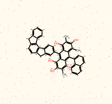 Cc1c(O)c(C)c2c(-c3cccc4ccccc34)c3c(O)c(C)c(O)c(O)c3c(-c3ccc4c(c3)Cc3ccc5c(c3-4)-c3ccccc3C5)c2c1O